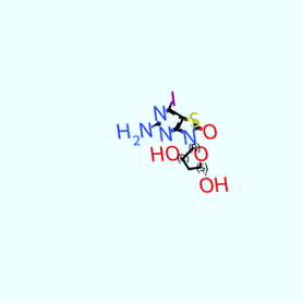 Nc1nc(I)c2sc(=O)n([C@@H]3O[C@H](CO)C[C@H]3O)c2n1